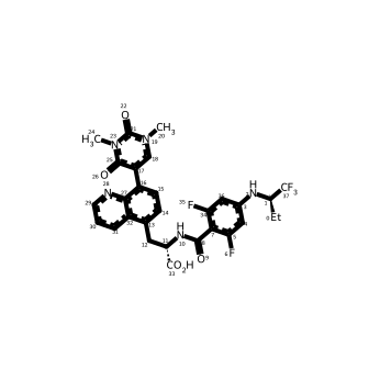 CC[C@@H](Nc1cc(F)c(C(=O)N[C@@H](Cc2ccc(-c3cn(C)c(=O)n(C)c3=O)c3ncccc23)C(=O)O)c(F)c1)C(F)(F)F